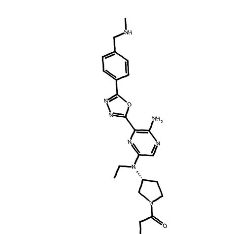 CCC(=O)N1CC[C@@H](N(CC)c2cnc(N)c(-c3nnc(-c4ccc(CNC)cc4)o3)n2)C1